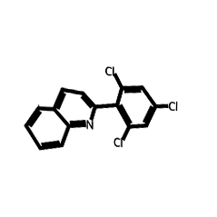 Clc1cc(Cl)c(-c2ccc3[c]cccc3n2)c(Cl)c1